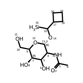 CC(=O)NC1C(O)[C@@H](O)C(CO)O[C@@H]1OC([SiH3])C1CCC1